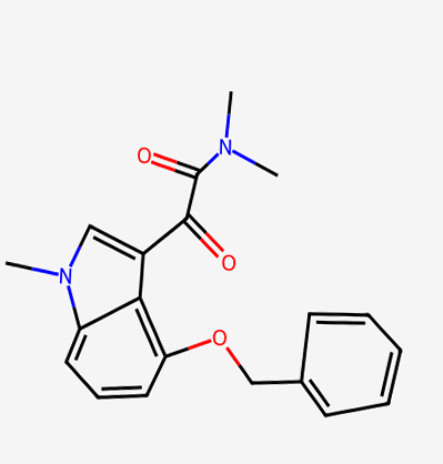 CN(C)C(=O)C(=O)c1cn(C)c2cccc(OCc3ccccc3)c12